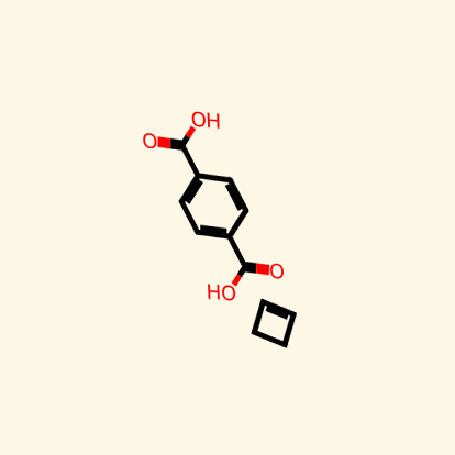 C1=CCC1.O=C(O)c1ccc(C(=O)O)cc1